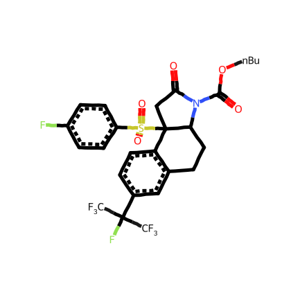 CCCCOC(=O)N1C(=O)CC2(S(=O)(=O)c3ccc(F)cc3)c3ccc(C(F)(C(F)(F)F)C(F)(F)F)cc3CCC12